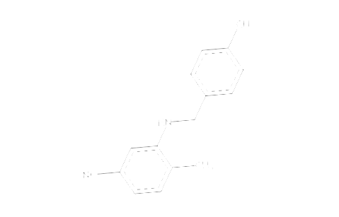 Cc1ccc(CNc2cc(C#N)ccc2C)cc1